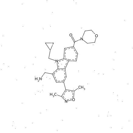 Cc1noc(C)c1-c1cc(CN)c2c(c1)c1ccc(C(=O)N3CCOCC3)cc1n2CC1CC1